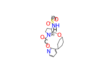 CC(C)S(=O)(=O)NC1CCN2C(=O)COc3ncccc3C3CCC(CC3)OC[C@@H]12